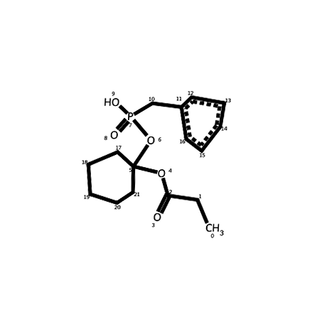 CCC(=O)OC1(OP(=O)(O)Cc2ccccc2)CCCCC1